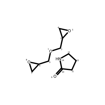 C(OCC1CO1)C1CO1.O=C1CCCN1